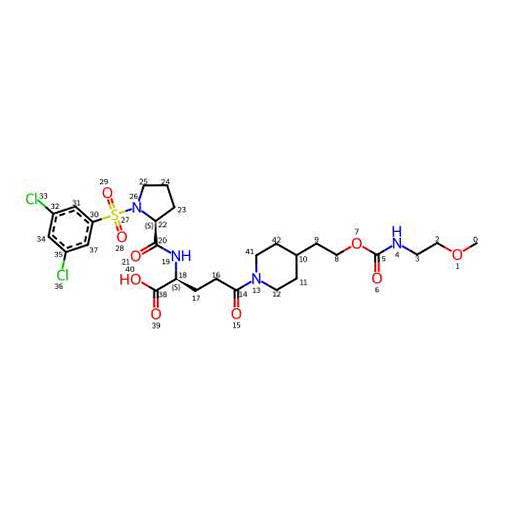 COCCNC(=O)OCCC1CCN(C(=O)CC[C@H](NC(=O)[C@@H]2CCCN2S(=O)(=O)c2cc(Cl)cc(Cl)c2)C(=O)O)CC1